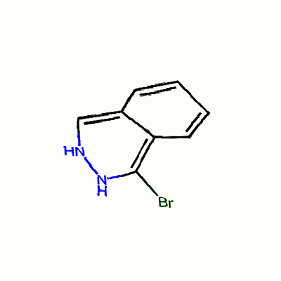 BrC1=c2ccccc2=CNN1